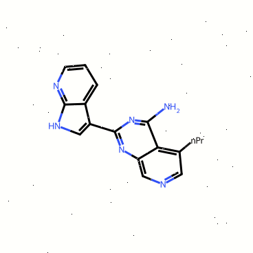 CCCc1cncc2nc(-c3c[nH]c4ncccc34)nc(N)c12